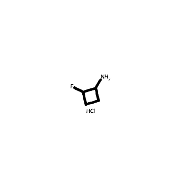 Cl.NC1CCC1F